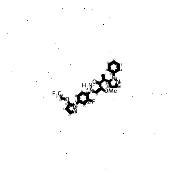 C=C(C(=O)/C(=C\N(N)c1ccc(-n2nccc2OCC(F)(F)F)cc1F)OC)C1CC=NN1c1ccccc1